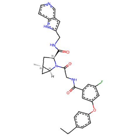 CCc1ccc(Oc2cc(F)cc(C(=O)NCC(=O)N3[C@H]4C[C@@]4(C)C[C@H]3C(=O)NCc3cc4cnccc4[nH]3)c2)cc1